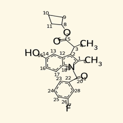 Cc1c(C(C)C(=O)OC2CCC2)c2cc(O)ccc2n1C(=O)c1cccc(F)c1